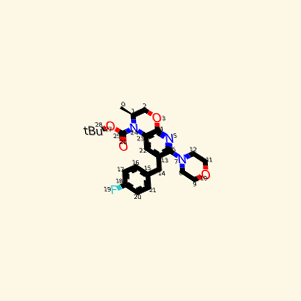 C[C@H]1COc2nc(N3CCOCC3)c(Cc3ccc(F)cc3)cc2N1C(=O)OC(C)(C)C